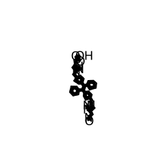 O=NCc1cn(Cc2ccc(/C(=C(\c3ccccc3)c3ccc(Cn4cc(CS(=O)(=O)O)nn4)cc3)c3ccccc3)cc2)nn1